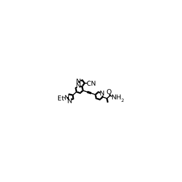 C=C(C(N)=O)c1ccc(C#Cc2cc(-c3cnn(CC)c3)cn3ncc(C#N)c23)cn1